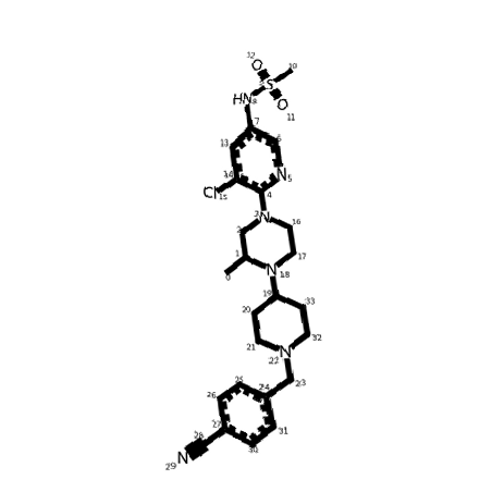 CC1CN(c2ncc(NS(C)(=O)=O)cc2Cl)CCN1C1CCN(Cc2ccc(C#N)cc2)CC1